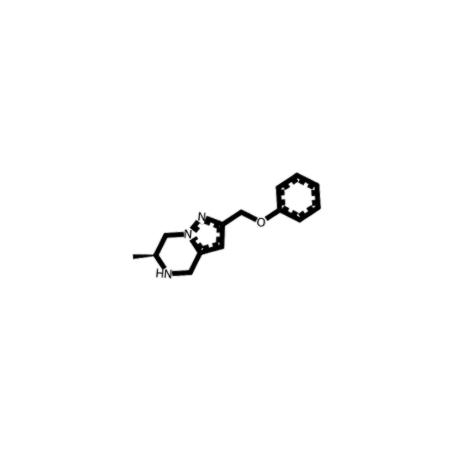 C[C@H]1Cn2nc(COc3ccccc3)cc2CN1